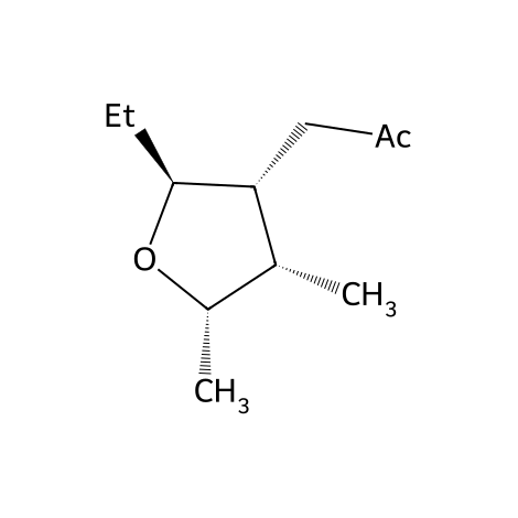 CC[C@@H]1O[C@@H](C)[C@@H](C)[C@H]1CC(C)=O